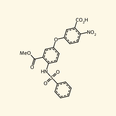 COC(=O)c1cc(Oc2ccc([N+](=O)[O-])c(C(=O)O)c2)ccc1NS(=O)(=O)c1ccccc1